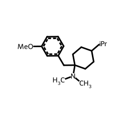 COc1cccc(CC2(N(C)C)CCC(C(C)C)CC2)c1